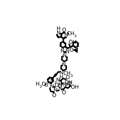 COc1ccc(C#CCNC2(C)CCN(C3CCN(c4nc(C(CO)(OC5CC5)c5ccccc5)c5cc(-c6cn(C)c(=O)c7[nH]ccc67)ccc5n4)CC3)CC2)cc1N1CCC(=O)N(CNC(=O)C(CC(=O)O)NC(=O)C(N)CC(=O)O)C1=O